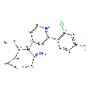 CCc1nc2c(-c3ccc(Cl)cc3Cl)nccc2n1C(CC)C1CC1